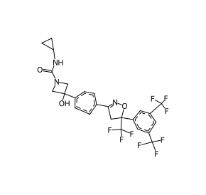 O=C(NC1CC1)N1CC(O)(c2ccc(C3=NOC(c4cc(C(F)(F)F)cc(C(F)(F)F)c4)(C(F)(F)F)C3)cc2)C1